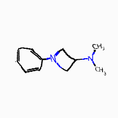 CN(C)C1CN(c2cc[c]cc2)C1